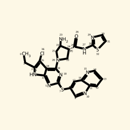 CCc1[nH]c2nc(Sc3cnc4cccnc4c3)nc(N3CC(N)[C@H](C(=O)Nc4nccs4)C3)c2c1Cl